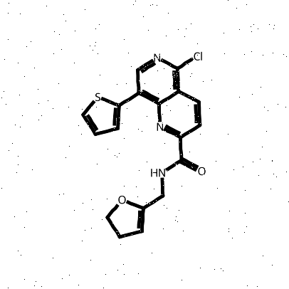 O=C(NCC1=CCCO1)c1ccc2c(Cl)ncc(-c3cccs3)c2n1